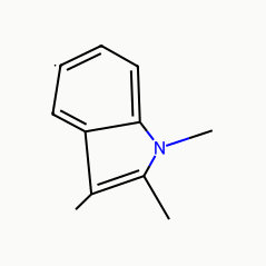 Cc1c(C)n(C)c2cc[c]cc12